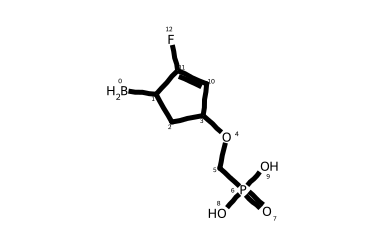 BC1CC(OCP(=O)(O)O)C=C1F